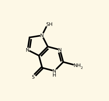 Nc1nc2c(ncn2S)c(=S)[nH]1